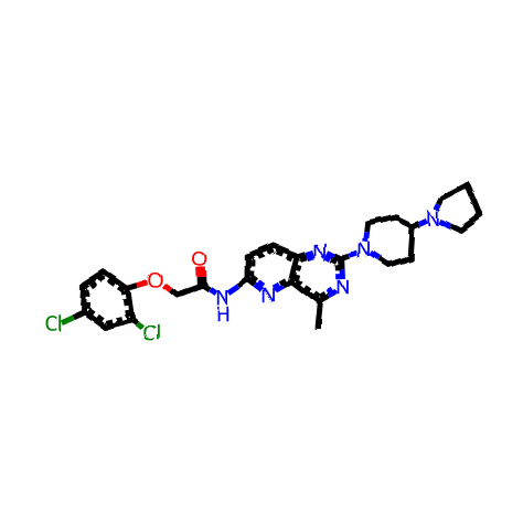 Cc1nc(N2CCC(N3CCCC3)CC2)nc2ccc(NC(=O)COc3ccc(Cl)cc3Cl)nc12